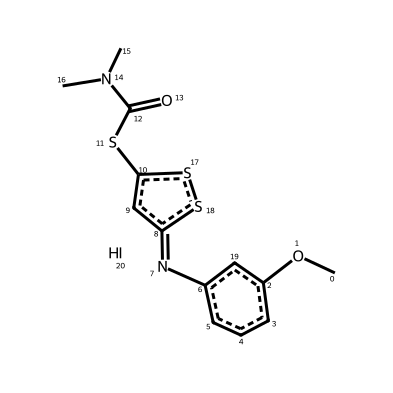 COc1cccc(/N=c2/cc(SC(=O)N(C)C)ss2)c1.I